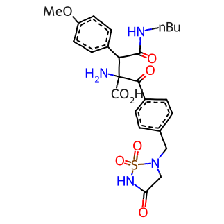 CCCCNC(=O)C(c1ccc(OC)cc1)C(N)(C(=O)O)C(=O)c1ccc(CN2CC(=O)NS2(=O)=O)cc1